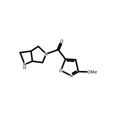 COc1cc(C(=O)N2CC3CNC3C2)on1